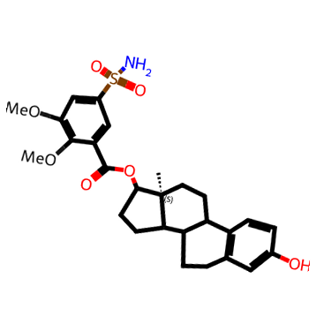 COc1cc(S(N)(=O)=O)cc(C(=O)OC2CCC3C4CCc5cc(O)ccc5C4CC[C@]23C)c1OC